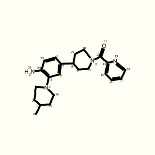 CC1CCN(c2cc(C3CCN(C(=O)c4ccccn4)CC3)ccc2N)CC1